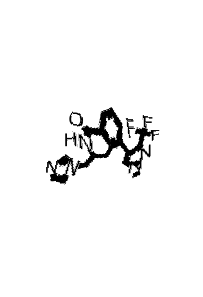 Cn1cc(-c2cccc3c2CC(Cn2ccnc2)NC3=O)c(C(F)(F)F)n1